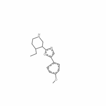 CCC1CCNCC1c1ncc(-c2ccc(OC)cc2)o1